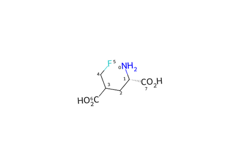 N[C@@H](CC(CF)C(=O)O)C(=O)O